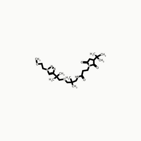 COCCn1cc(C(C)(C)COCC(C)(C)CNC(=O)CCN2C(=O)CC(C(C)(C)C)C2=O)nn1